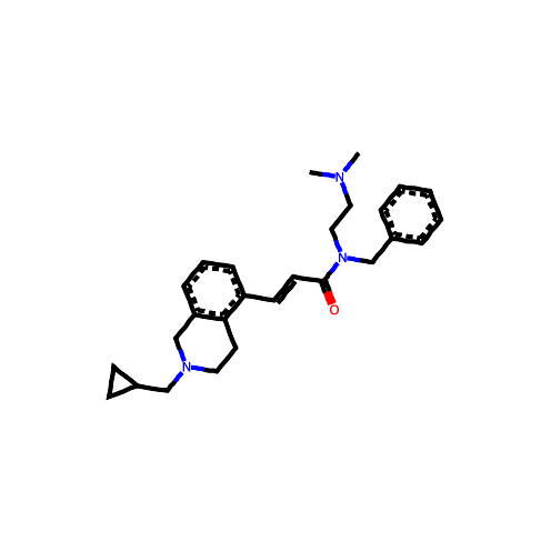 CN(C)CCN(Cc1ccccc1)C(=O)C=Cc1cccc2c1CCN(CC1CC1)C2